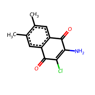 Cc1cc2c(cc1C)C(=O)C(Cl)=C(N)C2=O